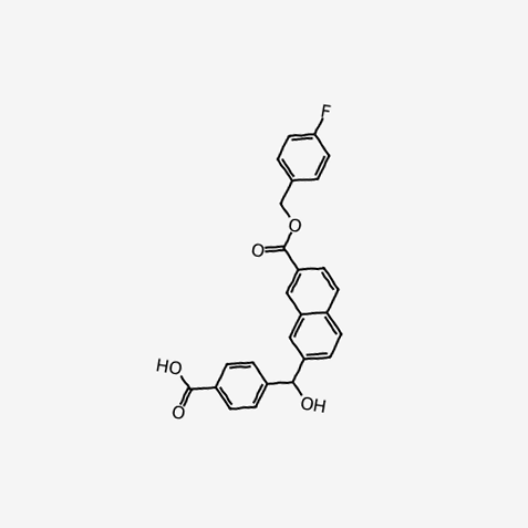 O=C(O)c1ccc(C(O)c2ccc3ccc(C(=O)OCc4ccc(F)cc4)cc3c2)cc1